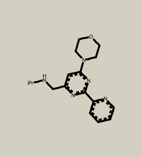 CC(C)NCc1cc(N2CCOCC2)nc(-c2ccccn2)n1